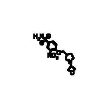 NS(=O)(=O)c1ccc(OC[C@H]2CCN(C3COC3)C2)c([N+](=O)[O-])c1